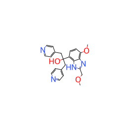 COCc1nc2c(OC)ccc(C(O)(Cc3ccncc3)Cc3ccncc3)c2[nH]1